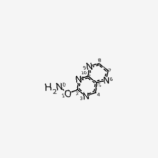 NOc1ncc2nccnc2n1